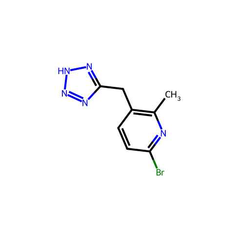 Cc1nc(Br)ccc1Cc1nn[nH]n1